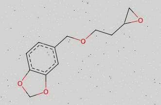 c1cc2c(cc1COCCC1CO1)OCO2